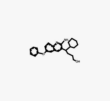 Nc1nc2ccc(Oc3ccccc3)cc2cc1C(CCCO)C1CCCCC1